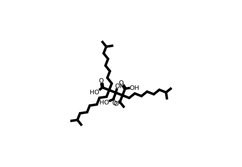 CC(=O)C(CCCCCCC(C)C)(C(=O)O)C(O)(C(=O)O)C(CCCCCCC(C)C)(CCCCCCC(C)C)C(=O)O